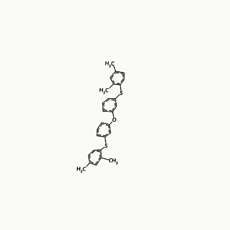 Cc1ccc(Sc2cccc(Oc3cccc(Sc4ccc(C)cc4C)c3)c2)c(C)c1